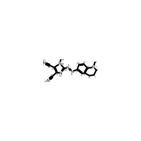 CN1CCCc2cc(N=Nc3nc(C#N)c(C#N)n3C)ccc21